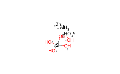 O=S(=O)(O)O.O[Si](O)(O)O.[AlH3].[Zn]